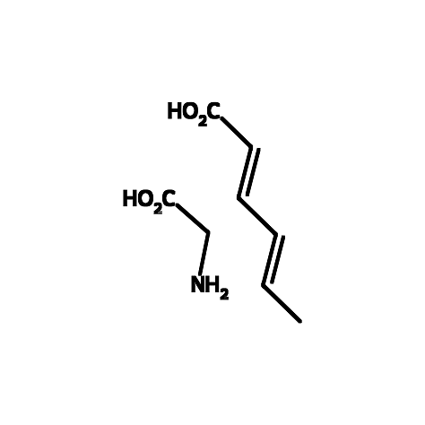 C/C=C/C=C/C(=O)O.NCC(=O)O